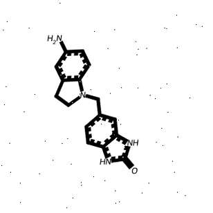 Nc1ccc2c(c1)CCN2Cc1ccc2[nH]c(=O)[nH]c2c1